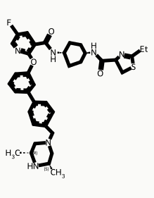 CCC1=NC(C(=O)N[C@H]2CC[C@@H](NC(=O)c3cc(F)cnc3Oc3cccc(-c4ccc(CN5C[C@@H](C)N[C@@H](C)C5)cc4)c3)CC2)CS1